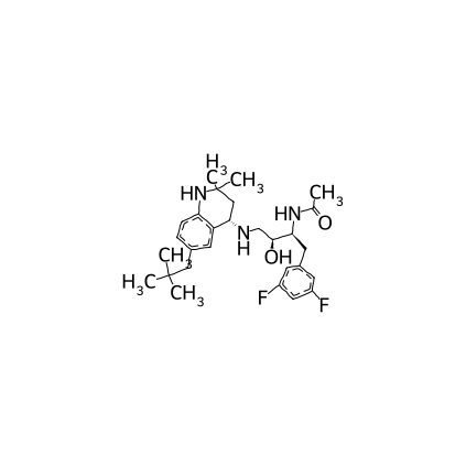 CC(=O)N[C@@H](Cc1cc(F)cc(F)c1)[C@@H](O)CN[C@H]1CC(C)(C)Nc2ccc(CC(C)(C)C)cc21